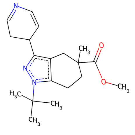 COC(=O)C1(C)CCc2c(c(C3C=CN=CC3)nn2C(C)(C)C)C1